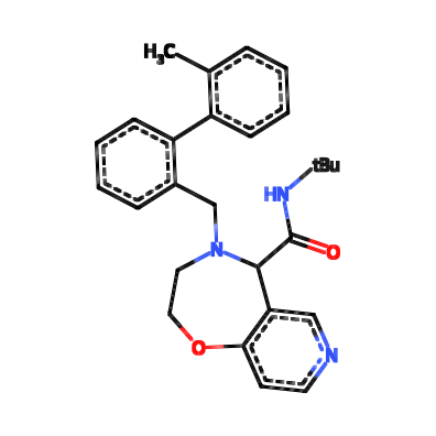 Cc1ccccc1-c1ccccc1CN1CCOc2ccncc2C1C(=O)NC(C)(C)C